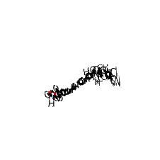 CC1(C)[C@H](NC(=O)c2ccc(N3CCC(N4CC(N5Cc6cc7c(cc6C5)C(=O)N(C5CCC(=O)NC5=O)C7=O)C4)CC3)cc2)C(C)(C)[C@H]1Oc1ccc(C#N)c(Cl)c1